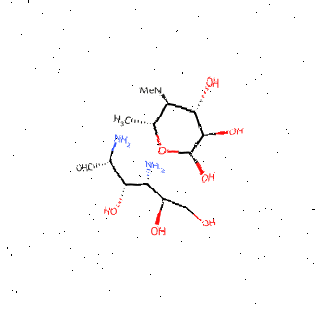 CN[C@H]1[C@H](O)[C@@H](O)[C@@H](O)O[C@@H]1C.N[C@@H]([C@H](O)[C@@H](N)C=O)[C@H](O)CO